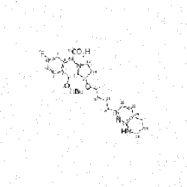 CC(C)(C)OCc1ccc(F)cc1C(C(=O)O)N1CC[C@@H](OCCCCc2ccc3c(n2)NCCC3)C1